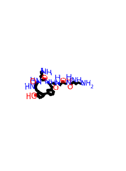 CNCCC[C@@H]1NC(=O)[C@@H](NC)Cc2cc(ccc2O)-c2cccc(c2)C[C@@H](CC(=O)NCC(O)CNC(=O)[C@@H](N)CCCN)NC1=O